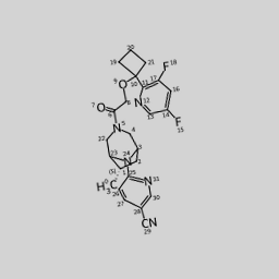 C[C@H]1CC2CN(C(=O)COC3(c4ncc(F)cc4F)CCC3)CC1N2c1ccc(C#N)cn1